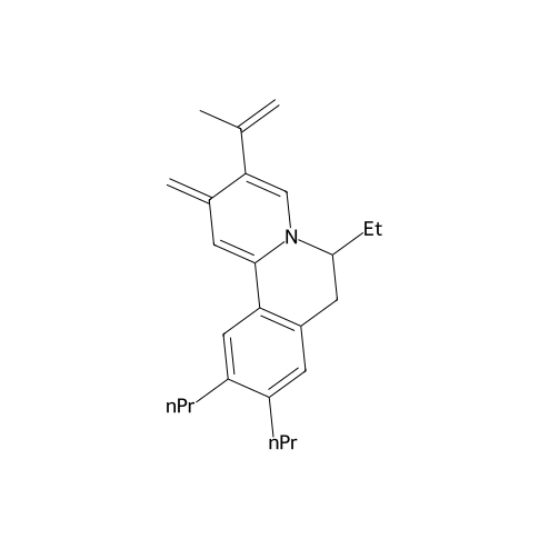 C=C(C)C1=CN2C(=CC1=C)c1cc(CCC)c(CCC)cc1CC2CC